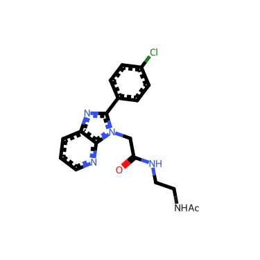 CC(=O)NCCNC(=O)Cn1c(-c2ccc(Cl)cc2)nc2cccnc21